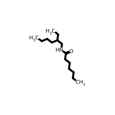 CCCCCCC(=O)NCC(CC)CCCC